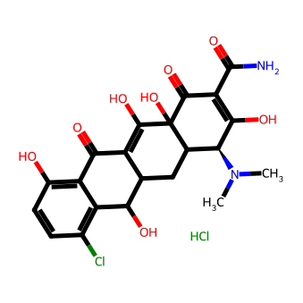 CN(C)[C@@H]1C(O)=C(C(N)=O)C(=O)C2(O)C(O)=C3C(=O)c4c(O)ccc(Cl)c4C(O)C3CC12.Cl